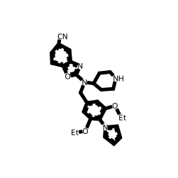 CCOc1cc(CN(c2nc3cc(C#N)ccc3o2)C2CCNCC2)cc(OCC)c1-n1cccc1